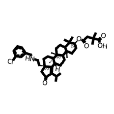 CC(C)C1=C2[C@H]3CCC4[C@@]5(C)CC[C@H](OC(=O)CC(C)(C)C(=O)O)C(C)(C)C5CC[C@@]4(C)[C@]3(C)CC[C@@]2(CCNCc2cccc(Cl)c2)CC1=O